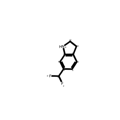 FC(F)c1ccc2c(c1)NCC2